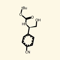 CC(C)(C)OC(=O)N[C@@H](CO)c1ccc(C#N)cc1